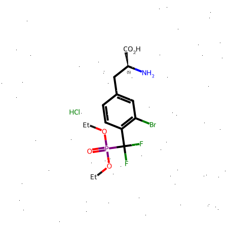 CCOP(=O)(OCC)C(F)(F)c1ccc(C[C@H](N)C(=O)O)cc1Br.Cl